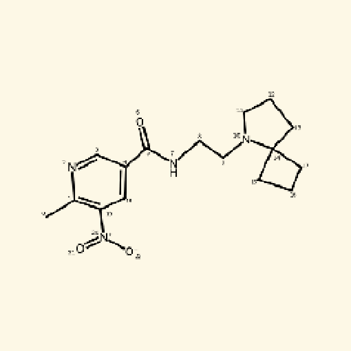 Cc1ncc(C(=O)NCCN2CCCC23CCC3)cc1[N+](=O)[O-]